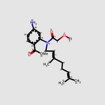 CCOCC(=O)N(C/C=C(\C)CCC=C(C)C)c1cc(N)ccc1C(=O)OC